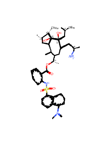 CO[C@H](C)C[C@]1(O)C(C[C@@H](C)N)CC([C@H](C)OC(=O)c2ccccc2NS(=O)(=O)c2cccc3c(N(C)C)cccc23)C(C)C2C[C@H](C)[C@H](OC)[C@@]21O